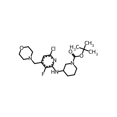 CC(C)(C)OC(=O)N1CCCC(Nc2nc(Cl)cc(CN3CCOCC3)c2F)C1